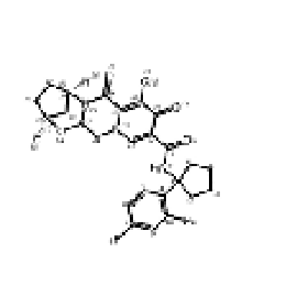 O=C(NC1(c2ccc(F)cc2F)CCCC1)c1cn2c(c(O)c1=O)C(=O)N1C(C2)O[C@H]2CC[C@@H]1C2